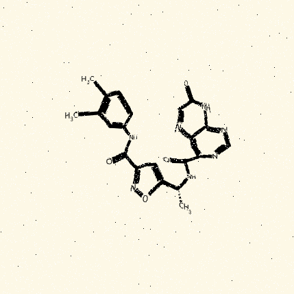 Cc1ccc(NC(=O)c2cc([C@@H](C)NC(=O)c3ncnc4[nH]c(=O)cnc34)on2)cc1C